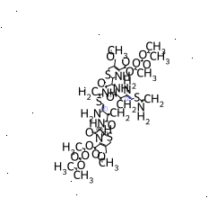 C=C(N)S/C=C(\N)C(=C)C(=O)NC(C(=O)NC(=C)S/C=C(\N)C(=C)C(=O)N[C@@H]1C(=O)N2C(C(=O)OC(C)OC(=O)OC(C)C)=C(COC)CS[C@H]12)C1NC(C(=O)OC(C)OC(=O)OC(C)C)=C(COC)CS1